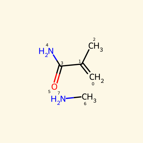 C=C(C)C(N)=O.CN